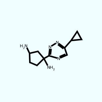 NC1CCC(N)(c2ncc(C3CC3)nn2)C1